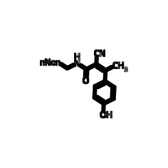 CCCCCCCCCCNC(=O)/C(C#N)=C(/C)c1ccc(O)cc1